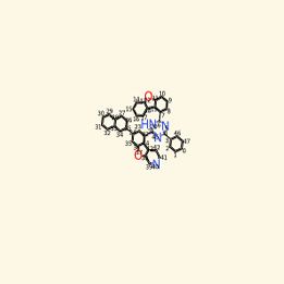 c1ccc(C2=NC(c3cccc4oc5ccccc5c34)NC(c3cc(-c4ccc5ccccc5c4)cc4oc5cnccc5c34)=N2)cc1